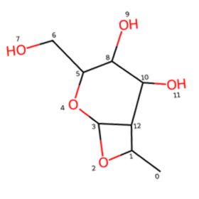 CC1OC2OC(CO)C(O)C(O)C12